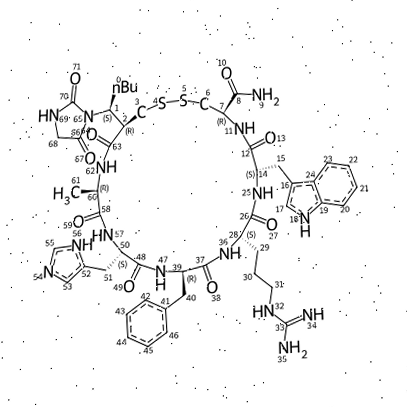 CCCC[C@@H]([C@H]1CSSC[C@@H](C(N)=O)NC(=O)[C@H](Cc2c[nH]c3ccccc23)NC(=O)[C@H](CCCNC(=N)N)NC(=O)[C@@H](Cc2ccccc2)NC(=O)[C@H](Cc2cnc[nH]2)NC(=O)[C@@H](C)NC1=O)N1C(=O)CNC1=O